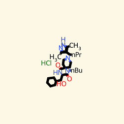 CCCCN1C(=O)[C@@H]([C@H](O)C2CCCCC2)NC(=O)C12CCN(C(CCC)c1c(C)n[nH]c1C)CC2.Cl